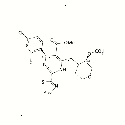 COC(=O)C1=C(CN2CCOC[C@@H]2OC(=O)O)NC(c2nccs2)=N[C@H]1c1ccc(Cl)cc1F